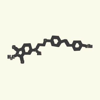 CCCCc1ccc(C=Cc2ccc(OCCN(CC)c3ccc4c(c3)C(=O)N(C)C4=O)cc2)cc1